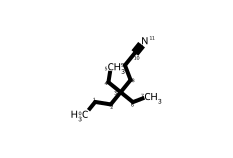 CCCC(CC)(CC)CCC#N